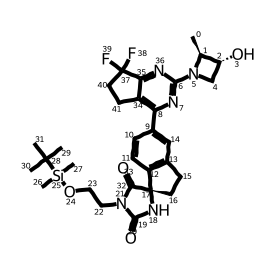 C[C@H]1[C@H](O)CN1c1nc(-c2ccc3c(c2)CC[C@]32NC(=O)N(CCO[Si](C)(C)C(C)(C)C)C2=O)c2c(n1)C(F)(F)CC2